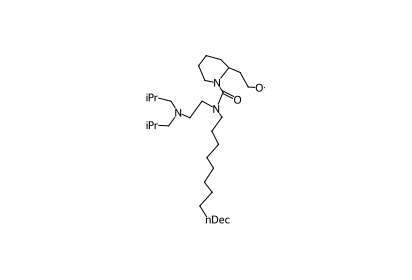 CCCCCCCCCCCCCCCCCCN(CCN(CC(C)C)CC(C)C)C(=O)N1CCCCC1CC[O]